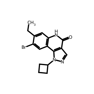 CCc1cc2[nH]c(=O)c3cnn(C4CCC4)c3c2cc1Br